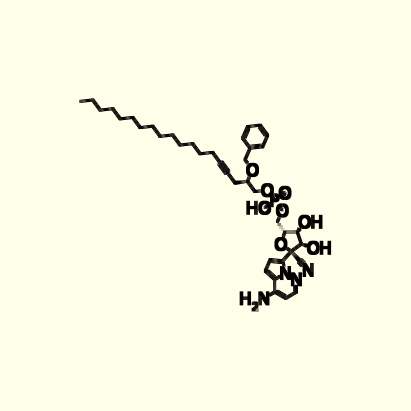 CCCCCCCCCCCCCCC#CC[C@H](COP(=O)(O)OC[C@H]1O[C@@](C#N)(c2ccc3c(N)ccnn23)[C@H](O)[C@@H]1O)OCc1ccccc1